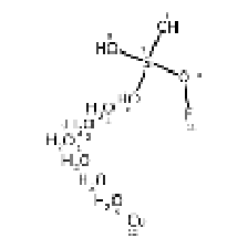 O.O.O.O.O.O.O[Si](O)(O)OF.[Cu]